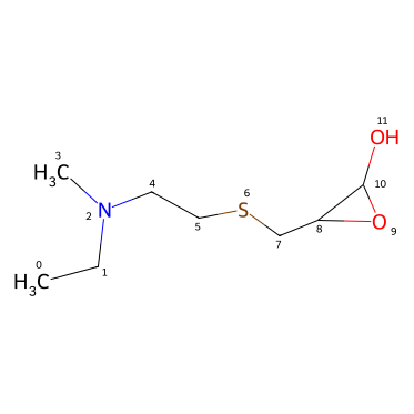 CCN(C)CCSCC1OC1O